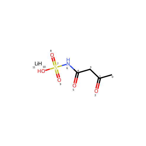 CC(=O)CC(=O)NS(=O)(=O)O.[LiH]